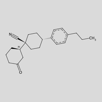 CCCc1ccc([C@H]2CC[C@@](C#N)([C@@H]3CCCC(=O)C3)CC2)cc1